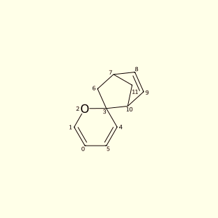 C1=COC2(C=C1)CC1C=CC2C1